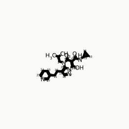 CC(C)Cn1c(=O)c(C(=O)NC2CC2)c(O)n2ncc(CCc3cccnc3)c12